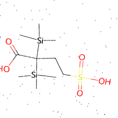 C[Si](C)(C)C(CCS(=O)(=O)O)(C(=O)O)[Si](C)(C)C